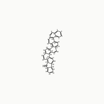 c1ccc2c(c1)ccc1ccc3c(ccc4ccc5c(ccc6ccc7c(ccc8c9ccccc9[nH]c87)c65)c43)c12